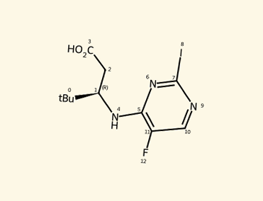 CC(C)(C)[C@@H](CC(=O)O)Nc1nc(I)ncc1F